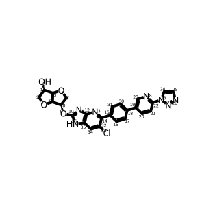 O[C@@H]1COC2C1OC[C@H]2Oc1nc2nc(-c3ccc(-c4ccc(-n5ccnn5)nc4)cc3)c(Cl)cc2[nH]1